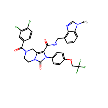 Cn1cnc2c(CNC(=O)c3c4n(c(=O)n3-c3ccc(OCC(F)(F)F)cc3)CCN(C(=O)c3ccc(Br)c(Cl)c3)C4)cccc21